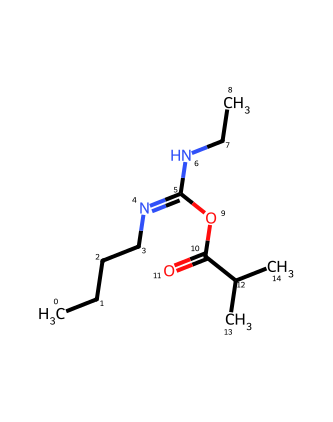 CCCC/N=C(/NCC)OC(=O)C(C)C